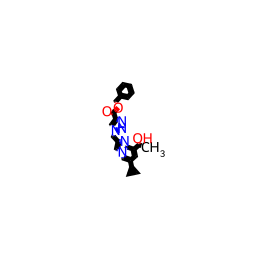 CC(O)c1cc(C2CC2)cn2cc(Cn3cc(C(=O)OCc4ccccc4)nn3)nc12